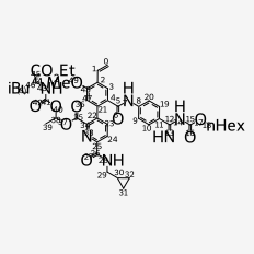 C=Cc1cc(C(=O)Nc2ccc(C(=N)NC(=O)OCCCCCC)cc2)c(-c2ccc(C(=O)NCC3CC3)nc2C(=O)OC(C)OC(=O)N[C@H](C(=O)OCC)[C@@H](C)CC)cc1OC